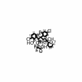 CC(C)(CC1NC(C(=O)O)C(c2cccc(Cl)c2F)C1(C#N)c1ccc(Cl)cc1F)C1CC=CCO1.O=C(O)C(F)(F)F